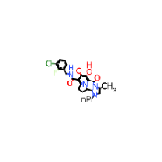 CCCN1C[C@H](C)N2C(=O)c3c(O)c(=O)c(C(=O)NCc4cccc(Cl)c4F)c4n3C(CC4)C12